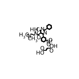 Cc1nc(-c2ccccc2)nc(-c2cccc([N+](=O)[O-])c2)c1C(=O)NCCN(C)C.O=C(O)C=CC(=O)O